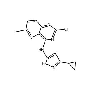 Cc1ccc2nc(Cl)nc(Nc3cc(C4CC4)n[nH]3)c2n1